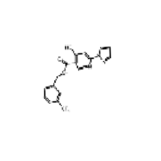 O=C(NCc1cccc(C(F)(F)F)c1)c1cnc(-n2cccn2)cc1O